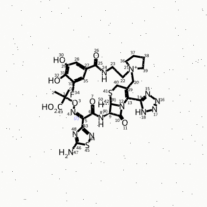 CC(C)(O/N=C(\C(=O)N[C@@H]1C(=O)N2C(c3nnn[nH]3)=C(C[N+]3(CCNC(=O)c4cc(O)c(O)c(F)c4)CCCC3)CS[C@H]12)c1nsc(N)n1)C(=O)O